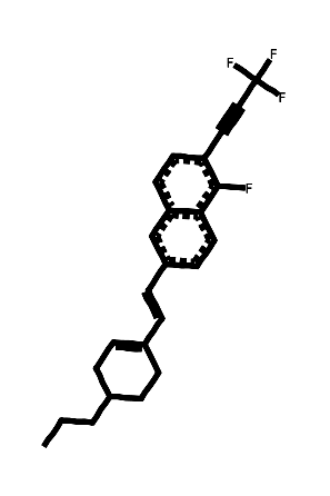 CCCC1CC=C(/C=C/c2ccc3c(F)c(C#CC(F)(F)F)ccc3c2)CC1